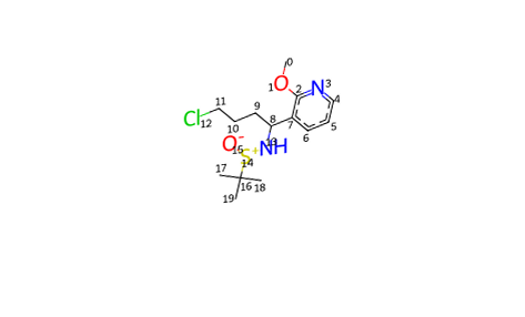 COc1ncccc1C(CCCCl)N[S+]([O-])C(C)(C)C